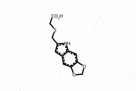 O=C(O)CSCc1cc2cc3c(cc2[nH]1)OCO3